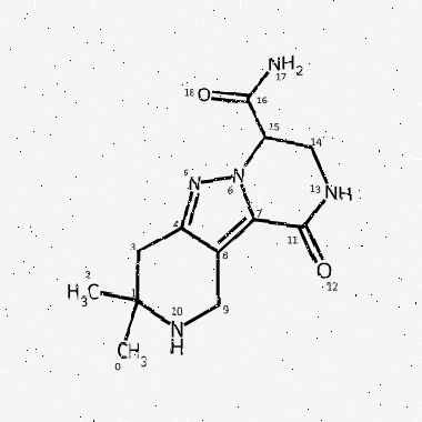 CC1(C)Cc2nn3c(c2CN1)C(=O)NCC3C(N)=O